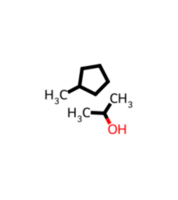 CC(C)O.CC1CCCC1